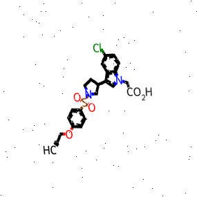 C#CCOc1ccc(S(=O)(=O)N2CCC(c3cn(CC(=O)O)c4ccc(Cl)cc34)C2)cc1